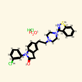 Cl.O.O=C1Cc2cc(CCN3CCN(c4nsc5ccccc45)CC3)ccc2N1c1cccc(Cl)c1